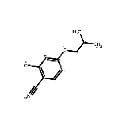 C[C](C)COc1ccc(C#N)c(Cl)c1